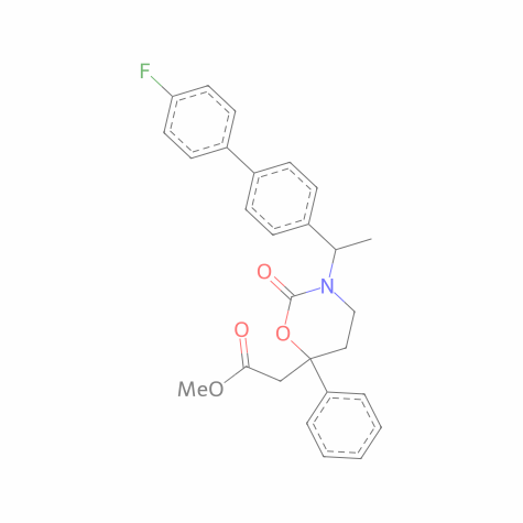 COC(=O)CC1(c2ccccc2)CCN(C(C)c2ccc(-c3ccc(F)cc3)cc2)C(=O)O1